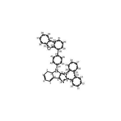 C1=CCC2C(=C1)c1nc3c4ccccc4c4ccccc4n3c1N2c1ccc(-c2cccc3c2oc2ccccc23)cc1